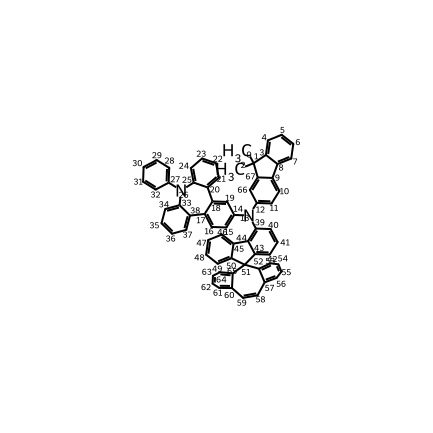 CC1(C)c2ccccc2-c2ccc(N(c3ccc4c(c3)-c3ccccc3N(c3ccccc3)c3ccccc3-4)c3cccc4c3-c3ccccc3C43c4ccccc4C=Cc4ccccc43)cc21